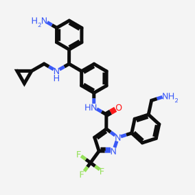 NCc1cccc(-n2nc(C(F)(F)F)cc2C(=O)Nc2cccc(C(NCC3CC3)c3cccc(N)c3)c2)c1